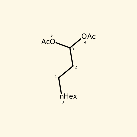 CCCCCCCCC(OC(C)=O)OC(C)=O